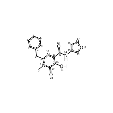 Cn1c(Cc2ccccc2)nc(C(=O)Nc2cnoc2)c(O)c1=O